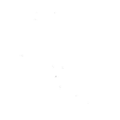 COc1nc(Nc2nccc(-c3ccc(OC4CCN(C(=O)C(C)CO)C(C)C4)c(C#N)c3)n2)ccc1N1CCN(C2COC2)CC1